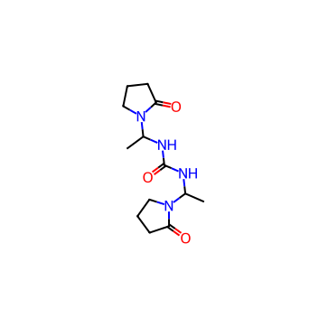 CC(NC(=O)NC(C)N1CCCC1=O)N1CCCC1=O